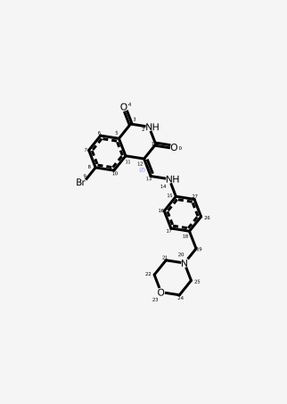 O=C1NC(=O)c2ccc(Br)cc2/C1=C/Nc1ccc(CN2CCOCC2)cc1